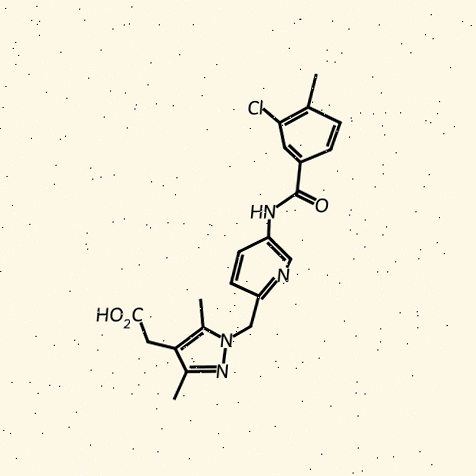 Cc1ccc(C(=O)Nc2ccc(Cn3nc(C)c(CC(=O)O)c3C)nc2)cc1Cl